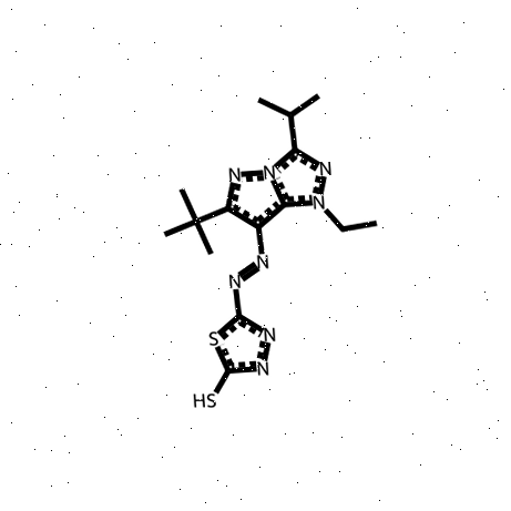 CCn1nc(C(C)C)n2nc(C(C)(C)C)c(N=Nc3nnc(S)s3)c12